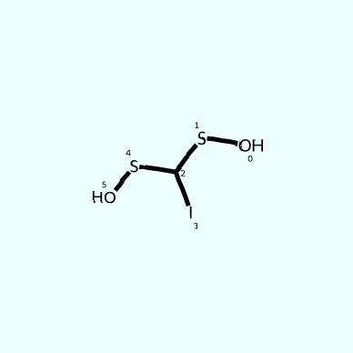 OSC(I)SO